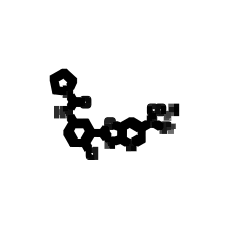 CC(C)N(C(=O)O)c1cnc2nc(-c3cc(NC(=O)N4CCCC4)ccc3Cl)oc2c1